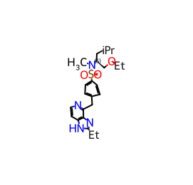 CCOC[C@H](CC(C)C)N(C)S(=O)(=O)c1ccc(Cc2nccc3[nH]c(CC)nc23)cc1